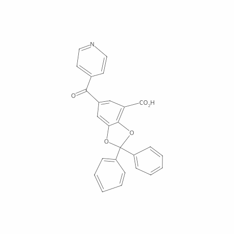 O=C(c1ccncc1)c1cc2c(c(C(=O)O)c1)OC(c1ccccc1)(c1ccccc1)O2